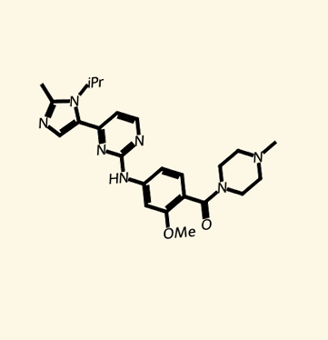 COc1cc(Nc2nccc(-c3cnc(C)n3C(C)C)n2)ccc1C(=O)N1CCN(C)CC1